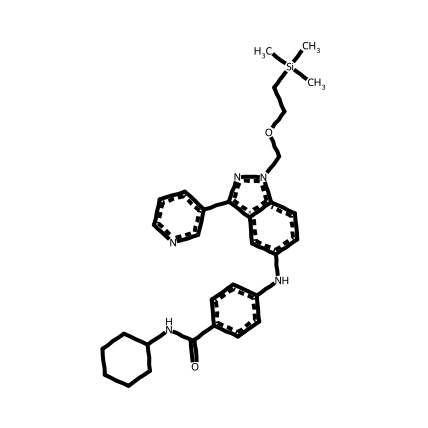 C[Si](C)(C)CCOCn1nc(-c2cccnc2)c2cc(Nc3ccc(C(=O)NC4CCCCC4)cc3)ccc21